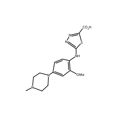 COc1cc(N2CCN(C)CC2)ccc1Nc1nnc(C(=O)O)s1